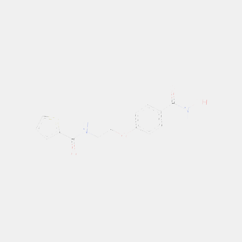 O=C(NO)c1ccc(OCCNC(=O)c2cccs2)cc1